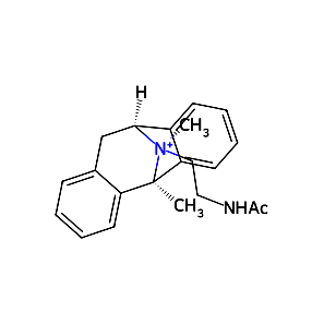 CC(=O)NCC[N@+]1(C)[C@H]2Cc3ccccc3[C@]1(C)c1ccccc12